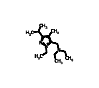 CCN(CC)Cc1c(C)c(C(C)C)nn1CC